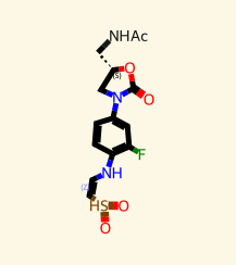 CC(=O)NC[C@H]1CN(c2ccc(N/C=C\[SH](=O)=O)c(F)c2)C(=O)O1